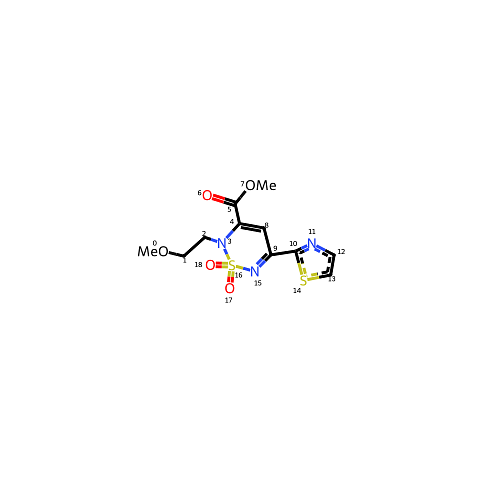 COCCN1C(C(=O)OC)=CC(c2nccs2)=NS1(=O)=O